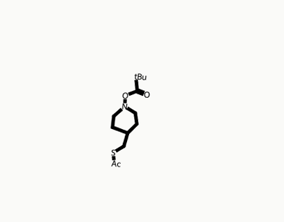 CC(=O)SCC1CCN(OC(=O)C(C)(C)C)CC1